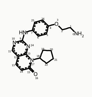 NCCOc1ccc(Nc2ncc3ccc(=O)n(C4CCCC4)c3n2)cc1